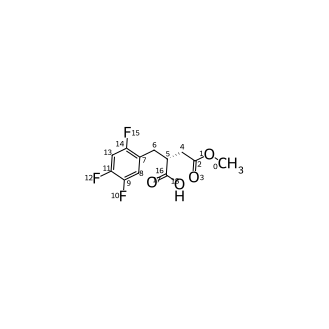 COC(=O)C[C@@H](Cc1cc(F)c(F)cc1F)C(=O)O